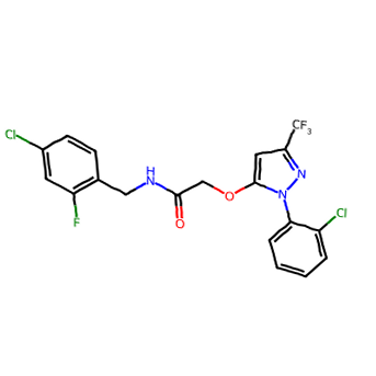 O=C(COc1cc(C(F)(F)F)nn1-c1ccccc1Cl)NCc1ccc(Cl)cc1F